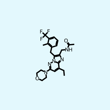 CCc1cc(N2CCOCC2)nn2c(Cc3cccc(C(F)(F)F)c3C)c(CNC(C)=O)nc12